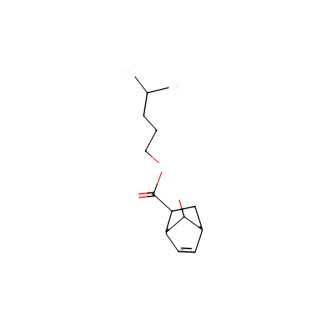 CC(C)CCCOC(=O)C1CC2C=CC1C2O